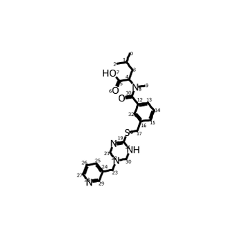 CC(C)CC(C(=O)O)N(C)C(=O)c1cccc(CSC2=NCN(Cc3cccnc3)CN2)c1